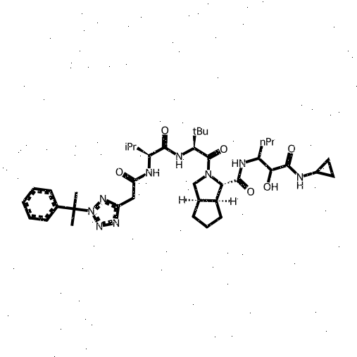 CCCC(NC(=O)[C@@H]1[C@H]2CCC[C@H]2CN1C(=O)[C@@H](NC(=O)[C@@H](NC(=O)Cc1nnn(C(C)(C)c2ccccc2)n1)C(C)C)C(C)(C)C)C(O)C(=O)NC1CC1